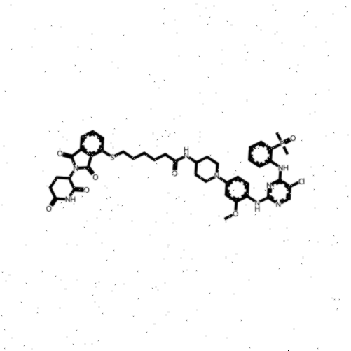 COc1cc(N2CCC(NC(=O)CCCCCSc3cccc4c3C(=O)N(C3CCC(=O)NC3=O)C4=O)CC2)ccc1Nc1ncc(Cl)c(Nc2ccccc2P(C)(C)=O)n1